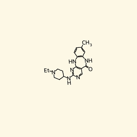 CCN1CCC(Nc2ncc3c(n2)Nc2ccc(C)cc2NC3=O)CC1